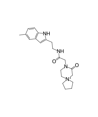 Cc1ccc2[nH]c(CCNC(=O)CN3CC[N+]4(CCCC4)CC3=O)cc2c1